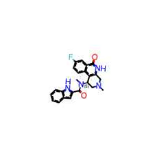 CN1Cc2[nH]c(=O)c3cc(F)ccc3c2[C@H](N(C)C(=O)c2cc3ccccc3[nH]2)C1